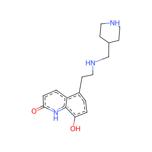 O=c1ccc2c(CCNCC3CCNCC3)ccc(O)c2[nH]1